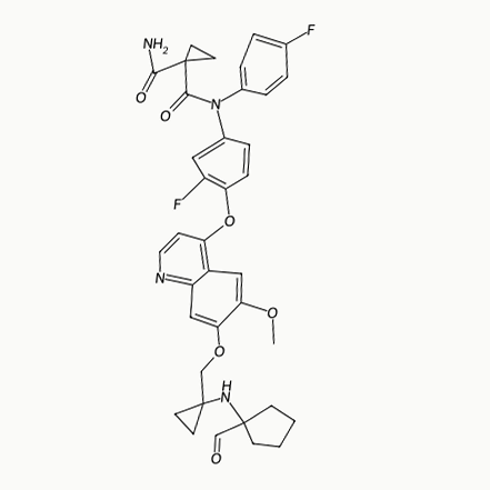 COc1cc2c(Oc3ccc(N(C(=O)C4(C(N)=O)CC4)c4ccc(F)cc4)cc3F)ccnc2cc1OCC1(NC2(C=O)CCCC2)CC1